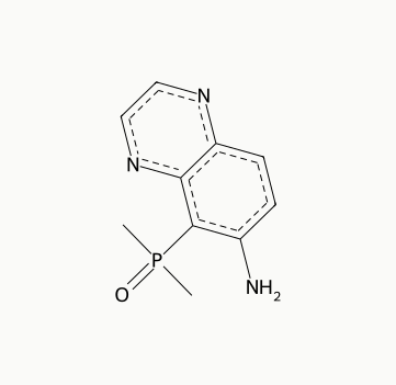 CP(C)(=O)c1c(N)ccc2nccnc12